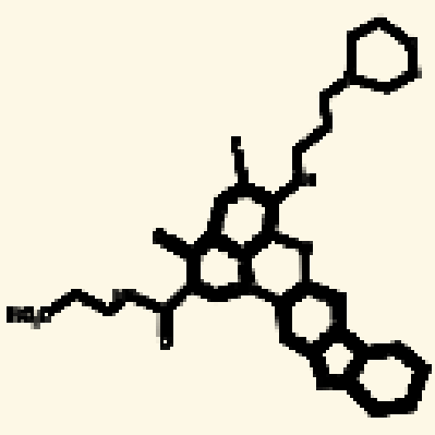 CCOC(=O)CCNC(=O)c1cn2c3c(c(NCCCN4CCOCC4)c(F)cc3c1=O)Oc1cc3c(cc1-2)oc1ccccc13